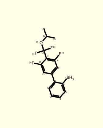 Bc1ccccc1-c1cc(F)c(C(F)(F)OC(C)C)c(F)c1